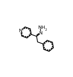 NN=C(Cc1ccccc1)c1ccncc1